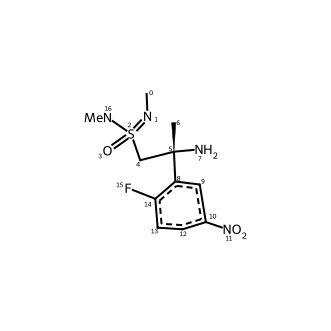 CN=S(=O)(C[C@](C)(N)c1cc([N+](=O)[O-])ccc1F)NC